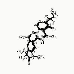 Cc1nnc(N[C@H](C)c2cccc(C(F)(F)CN)c2F)c2cc3c(cc12)C(C)(C)C(=O)N3C